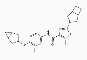 CCc1oc(N2CC3CCC3C2)nc1C(=O)Nc1ccc(OC2CC3CC3C2)c(F)c1